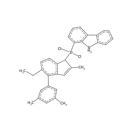 CCc1ccc2c(c1-c1cc(C)cc(C)c1)C=C(C)[CH]2[Zr]([Cl])([Cl])[c]1cccc2c1[SiH2]c1ccccc1-2